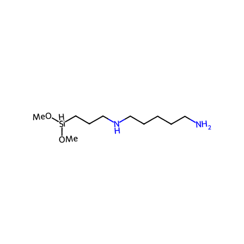 CO[SiH](CCCNCCCCCN)OC